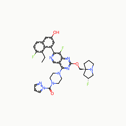 CCc1c(F)ccc2cc(O)cc(-c3ncc4c(N5CCN(C(=O)n6cccn6)CC5)nc(OC[C@@]56CCCN5C[C@H](F)C6)nc4c3F)c12